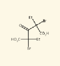 CCC(Br)(C(=O)O)C(=O)C(Br)(CC)C(=O)O